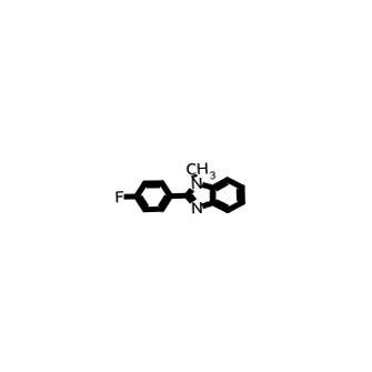 Cn1c(-c2ccc(F)cc2)nc2ccccc21